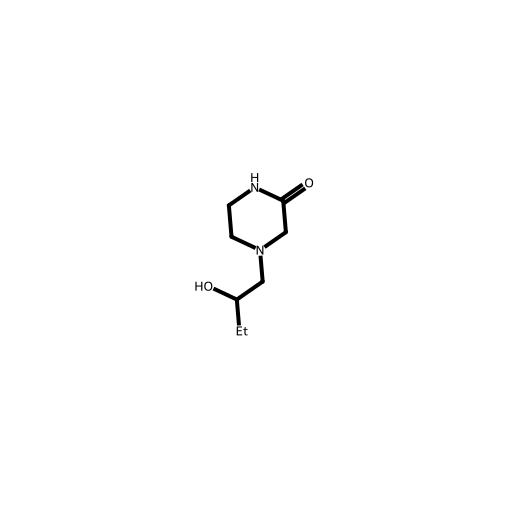 CCC(O)CN1CCNC(=O)C1